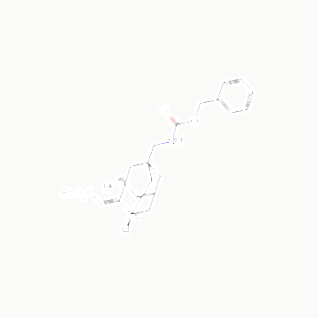 CCOC(=O)C=C1[C@@H]2CC3C[C@H]1CC(CNC(=O)OCc1ccccc1)(C3)C2